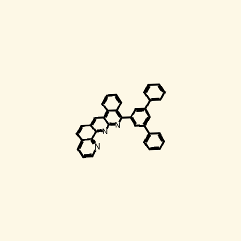 c1ccc(-c2cc(-c3ccccc3)cc(-c3nc4nc5c(ccc6cccnc65)cc4c4ccccc34)c2)cc1